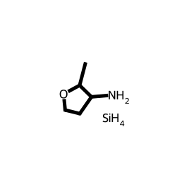 CC1OCCC1N.[SiH4]